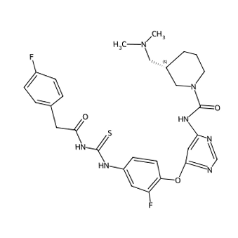 CN(C)C[C@@H]1CCCN(C(=O)Nc2cc(Oc3ccc(NC(=S)NC(=O)Cc4ccc(F)cc4)cc3F)ncn2)C1